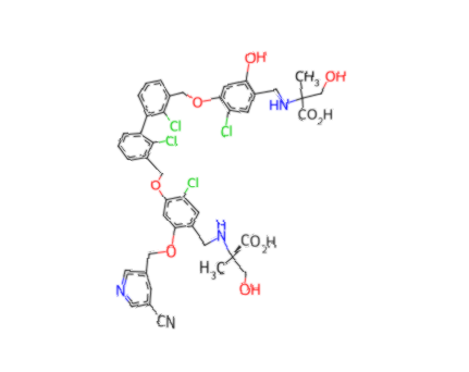 CC(CO)(NCc1cc(Cl)c(OCc2cccc(-c3cccc(COc4cc(OCc5cncc(C#N)c5)c(CN[C@@](C)(CO)C(=O)O)cc4Cl)c3Cl)c2Cl)cc1O)C(=O)O